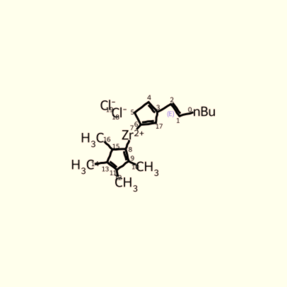 CCCC/C=C/C1=CC[C]([Zr+2][C]2=C(C)C(C)=C(C)C2C)=C1.[Cl-].[Cl-]